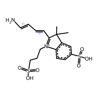 CC1(C)C(/C=C/C=C/N)=[N+](CCCS(=O)(=O)O)c2ccc(S(=O)(=O)O)cc21